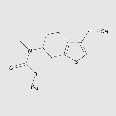 CN(C(=O)OC(C)(C)C)C1CCc2c(CO)csc2C1